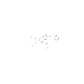 Cc1cc2cc(N(C(=O)OC(C)(C)C)C(=O)OC(C)(C)C)ccc2c(OC(=O)OC(C)(C)C)c1C(=O)Oc1ccccc1